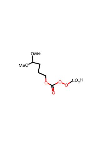 COC(CCCOC(=O)OOC(=O)O)OC